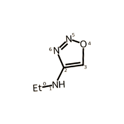 CCNc1conn1